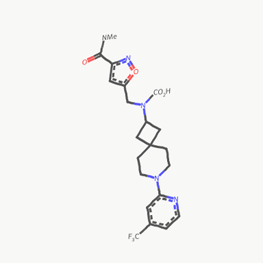 CNC(=O)c1cc(CN(C(=O)O)C2CC3(CCN(c4cc(C(F)(F)F)ccn4)CC3)C2)on1